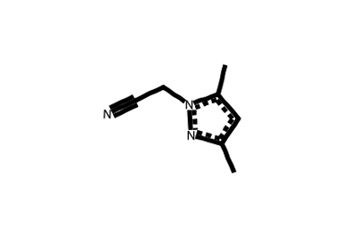 Cc1cc(C)n(CC#N)n1